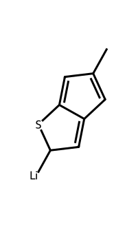 [Li][CH]1C=C2C=C(C)C=C2S1